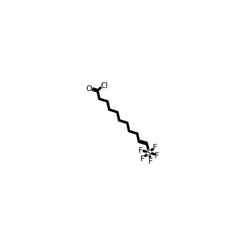 O=C(Cl)CCCCCCCCC=CS(F)(F)(F)(F)F